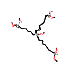 CO[SiH](CCCCC[Si](CCCCC[SiH](OC)OC)(CCCCC[SiH](OC)OC)OC)OC